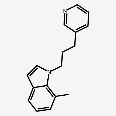 Cc1cccc2ccn(CCCc3cccnc3)c12